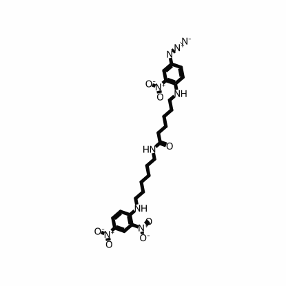 [N-]=[N+]=Nc1ccc(NCCCCCC(=O)NCCCCCCNc2ccc([N+](=O)[O-])cc2[N+](=O)[O-])c([N+](=O)[O-])c1